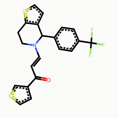 O=C(C=CN1CCc2sccc2C1c1ccc(C(F)(F)F)cc1)c1ccsc1